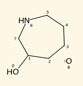 OC1CCCCNC1.[O]